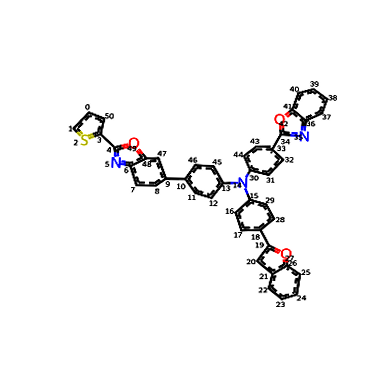 c1csc(-c2nc3ccc(-c4ccc(N(c5ccc(-c6cc7ccccc7o6)cc5)c5ccc(-c6nc7ccccc7o6)cc5)cc4)cc3o2)c1